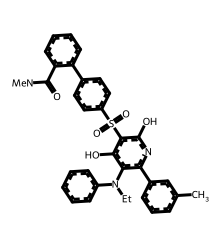 CCN(c1ccccc1)c1c(-c2cccc(C)c2)nc(O)c(S(=O)(=O)c2ccc(-c3ccccc3C(=O)NC)cc2)c1O